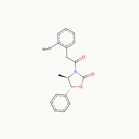 COc1ccccc1CC(=O)N1C(=O)O[C@H](c2ccccc2)[C@H]1C